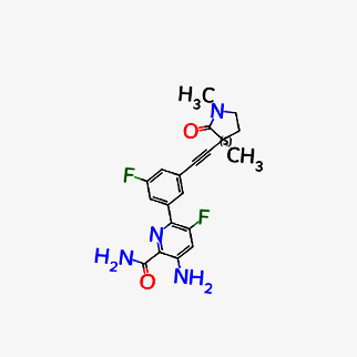 CN1CC[C@@](C)(C#Cc2cc(F)cc(-c3nc(C(N)=O)c(N)cc3F)c2)C1=O